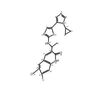 CC(Nc1ncc(-c2cncn2C2CC2)s1)c1cc2cc(Cl)c(F)cc2[nH]c1=O